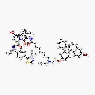 CCN(CCCCCCCC(=O)N[C@H](C(=O)N1C[C@H](O)C[C@H]1C(=O)N[C@@H](C)c1ccc(-c2scnc2C)cc1)C(C)(C)C)CCOc1ccc([C@@H]2c3ccc(O)cc3CC[C@@H]2c2ccccc2)cc1